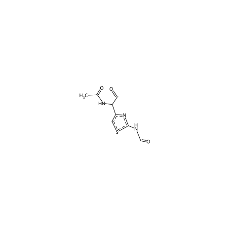 CC(=O)NC([C]=O)c1csc(NC=O)n1